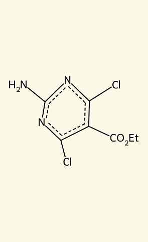 CCOC(=O)c1c(Cl)nc(N)nc1Cl